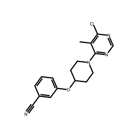 Cc1c(Cl)ncnc1N1CCC(Oc2cccc(C#N)c2)CC1